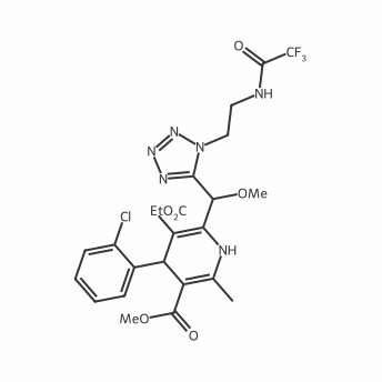 CCOC(=O)C1=C(C(OC)c2nnnn2CCNC(=O)C(F)(F)F)NC(C)=C(C(=O)OC)C1c1ccccc1Cl